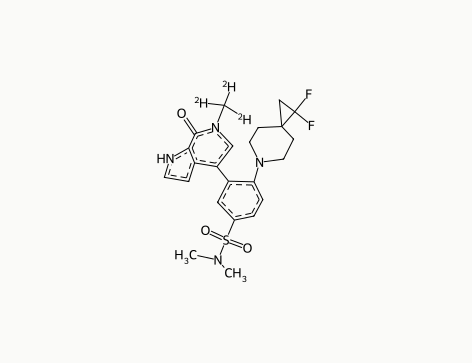 [2H]C([2H])([2H])n1cc(-c2cc(S(=O)(=O)N(C)C)ccc2N2CCC3(CC2)CC3(F)F)c2cc[nH]c2c1=O